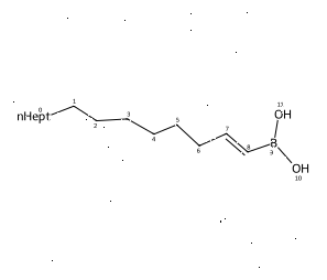 CCCCCCCCCCCCCC=CB(O)O